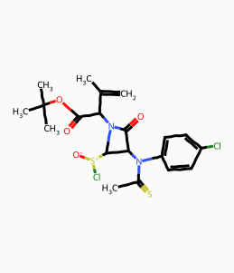 C=C(C)C(C(=O)OC(C)(C)C)N1C(=O)C(N(C(C)=S)c2ccc(Cl)cc2)C1[S+]([O-])Cl